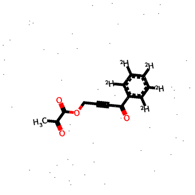 [2H]c1c([2H])c([2H])c(C(=O)C#CCOC(=O)C(C)=O)c([2H])c1[2H]